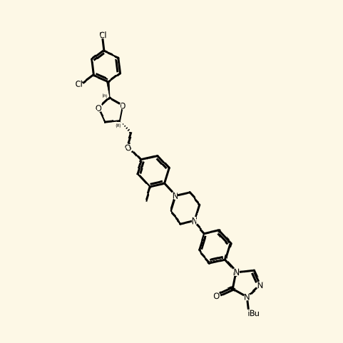 CCC(C)n1ncn(-c2ccc(N3CCN(c4ccc(OC[C@@H]5CO[C@@H](c6ccc(Cl)cc6Cl)O5)cc4C)CC3)cc2)c1=O